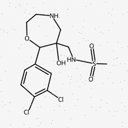 CS(=O)(=O)NCC1(O)CNCCOC1c1ccc(Cl)c(Cl)c1